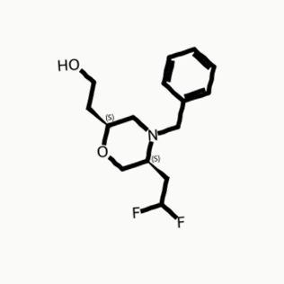 OCC[C@H]1CN(Cc2ccccc2)[C@@H](CC(F)F)CO1